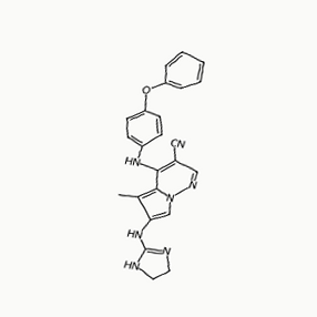 Cc1c(NC2=NCCN2)cn2ncc(C#N)c(Nc3ccc(Oc4ccccc4)cc3)c12